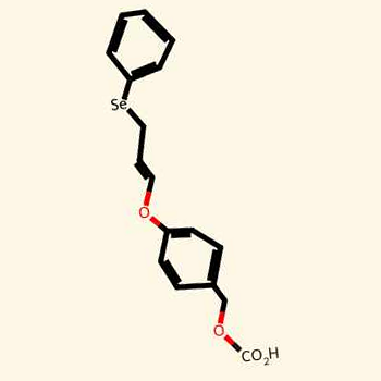 O=C(O)OCc1ccc(OC=CC[Se]c2ccccc2)cc1